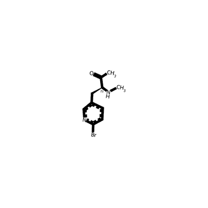 CN[C@@H](Cc1ccc(Br)nc1)C(C)=O